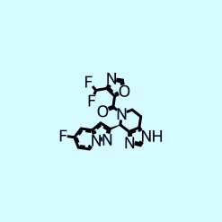 O=C(c1ocnc1C(F)F)N1CCc2[nH]cnc2[C@H]1c1cc2cc(F)ccn2n1